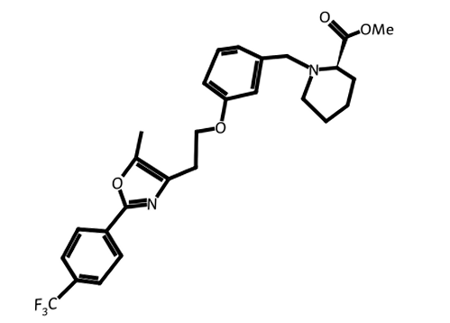 COC(=O)[C@H]1CCCCN1Cc1cccc(OCCc2nc(-c3ccc(C(F)(F)F)cc3)oc2C)c1